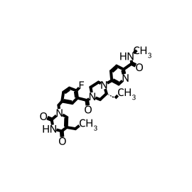 CCc1cn(Cc2ccc(F)c(C(=O)N3CCN(c4ccc(C(=O)NC)nc4)[C@H](CC)C3)c2)c(=O)[nH]c1=O